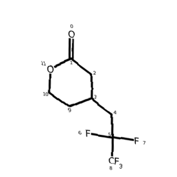 O=C1CC(CC(F)(F)C(F)(F)F)CCO1